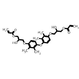 C=CC(=O)OCC(O)COc1ccc(Oc2ccc(OCC(O)COC(=O)C=C)c(C)c2C)c(C)c1C